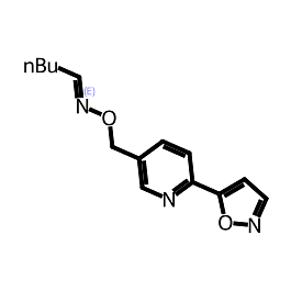 CCCC/C=N/OCc1ccc(-c2ccno2)nc1